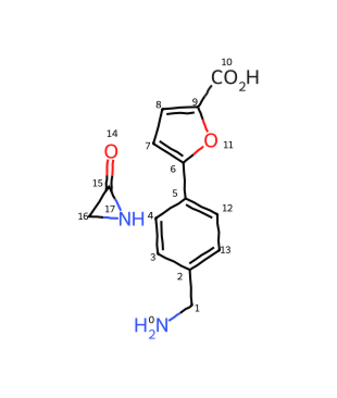 NCc1ccc(-c2ccc(C(=O)O)o2)cc1.O=C1CN1